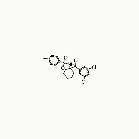 Cc1ccc(S(=O)(=O)NC2(C(=O)c3cc(Cl)cc(Cl)c3)CCCCC2)cc1